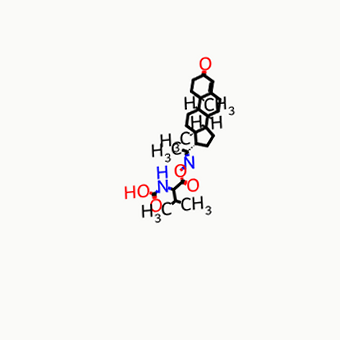 C/C(=N\OC(=O)C(NC(=O)O)C(C)C)[C@H]1CC[C@H]2[C@@H]3CCC4=CC(=O)CC[C@]4(C)[C@H]3CC[C@]12C